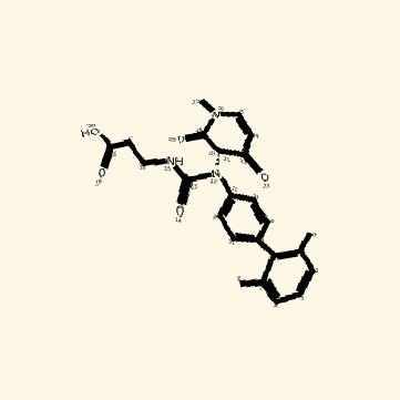 Cc1cccc(C)c1-c1ccc(N(C(=O)NCCC(=O)O)[C@H]2C(=O)C=CN(C)C2=O)cc1